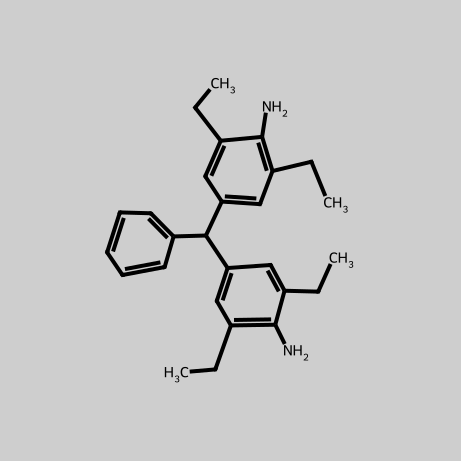 CCc1cc(C(c2ccccc2)c2cc(CC)c(N)c(CC)c2)cc(CC)c1N